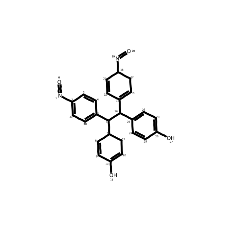 O=Nc1ccc(C(C2C=CC(O)=CC2)C(C2=CCC(N=O)C=C2)c2ccc(O)cc2)cc1